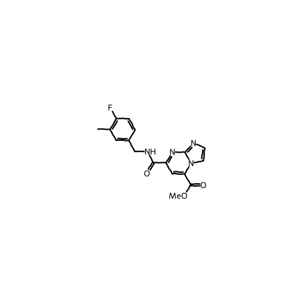 COC(=O)c1cc(C(=O)NCc2ccc(F)c(C)c2)nc2nccn12